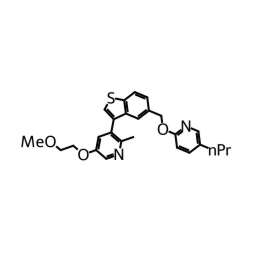 CCCc1ccc(OCc2ccc3scc(-c4cc(OCCOC)cnc4C)c3c2)nc1